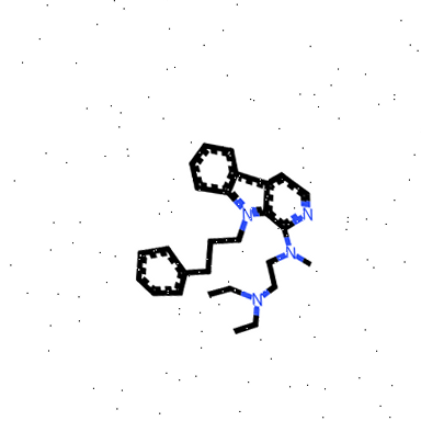 CCN(CC)CCN(C)c1nccc2c3ccccc3n(CCCc3ccccc3)c12